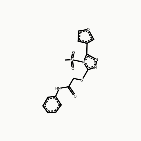 CS(=O)(=O)n1c(SCC(=O)Nc2ccccc2)nnc1-c1ccoc1